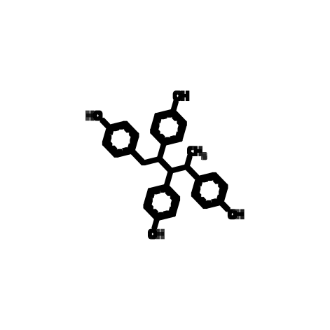 CC(c1ccc(O)cc1)C(c1ccc(O)cc1)C(Cc1ccc(O)cc1)c1ccc(O)cc1